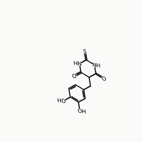 O=C1NC(=S)NC(=O)C1Cc1ccc(O)c(O)c1